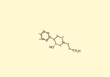 Cl.O=C(O)CCN1CCC(c2cccnc2)CC1